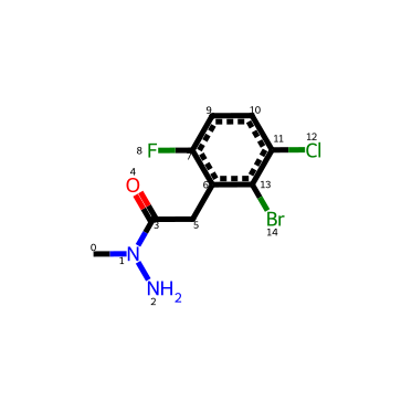 CN(N)C(=O)Cc1c(F)ccc(Cl)c1Br